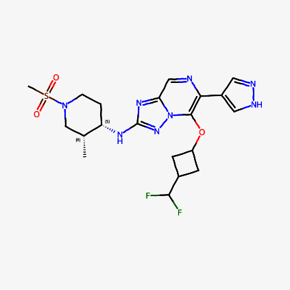 C[C@@H]1CN(S(C)(=O)=O)CC[C@@H]1Nc1nc2cnc(-c3cn[nH]c3)c(OC3CC(C(F)F)C3)n2n1